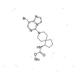 CC(C)(C)OC(=O)N[C@@H]1CCCC12CCN(c1ncc(Br)c3nccn13)CC2